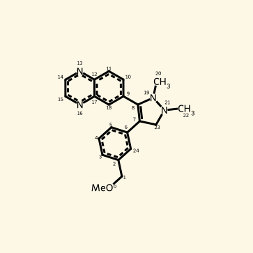 COCc1cccc(C2=C(c3ccc4nccnc4c3)N(C)N(C)C2)c1